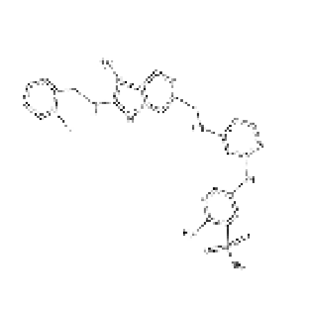 Cc1ccc(Nc2nccc(NCc3ccc4c(c3)nc(NCc3ccccc3F)n4C)n2)cc1S(N)(=O)=O